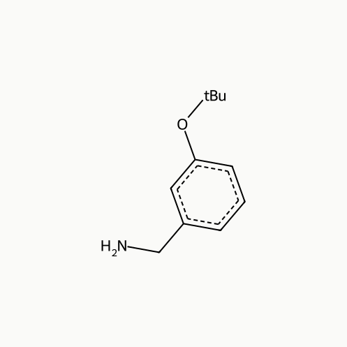 CC(C)(C)Oc1cccc(CN)c1